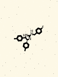 Cc1ccc(C2NC(NCc3ccc(F)cc3)=N[C@H]2c2ccc(C)cc2)cc1